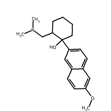 COc1ccc2cc(C3(O)CC[CH]CC3CN(C)C)ccc2c1